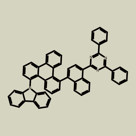 c1ccc(-c2nc(-c3ccccc3)nc(-c3ccc(-c4cccc5c4c4ccccc4c4cccc(-n6c7ccccc7c7ccccc76)c45)c4ccccc34)n2)cc1